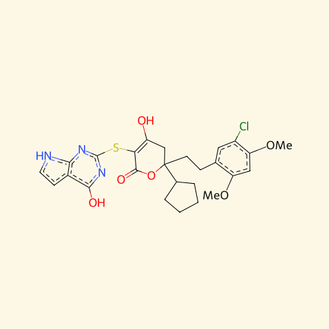 COc1cc(OC)c(CCC2(C3CCCC3)CC(O)=C(Sc3nc(O)c4cc[nH]c4n3)C(=O)O2)cc1Cl